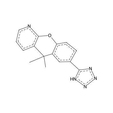 CC1(C)c2cc(-c3nnn[nH]3)ccc2Oc2ncccc21